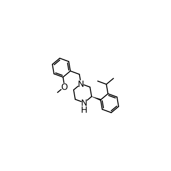 COc1ccccc1CN1CCN[C@H](c2ccccc2C(C)C)C1